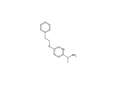 CC(N)c1ccc(OCCc2ccccc2)cn1